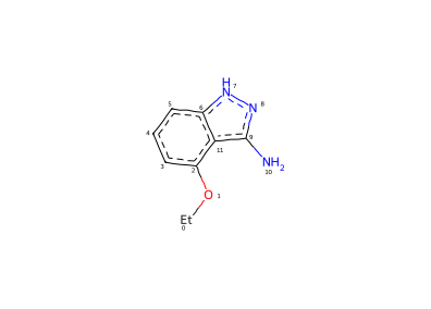 CCOc1cccc2[nH]nc(N)c12